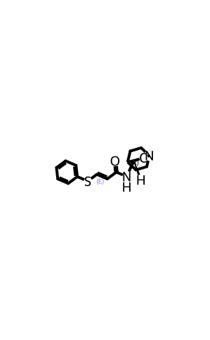 O=C(/C=C/Sc1ccccc1)N[C@H]1CN2CCC1CC2